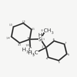 C[SiH](C1(C)CCCCC1)C1(C)CCCCC1